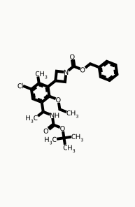 CCOc1c(C(C)NC(=O)OC(C)(C)C)cc(Cl)c(C)c1C1CN(C(=O)OCc2ccccc2)C1